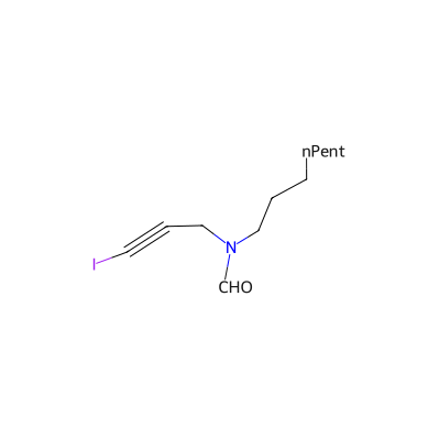 CCCCCCCCN(C=O)CC#CI